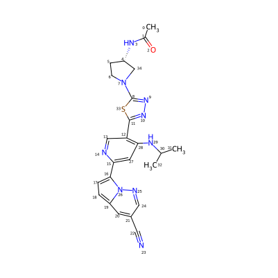 CC(=O)N[C@H]1CCN(c2nnc(-c3cnc(-c4ccc5cc(C#N)cnn45)cc3NC(C)C)s2)C1